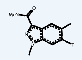 CNC(=O)c1nn(C)c2cc(F)c(C)cc12